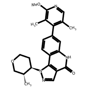 COc1ncc(C)c(-c2ccc3c(c2)[nH]c(=O)c2cnn([C@@H]4CCOC[C@H]4C)c23)c1C